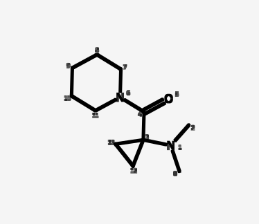 CN(C)C1(C(=O)N2CCCCC2)CC1